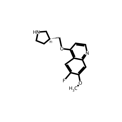 COc1cc2nccc(OC[C@@H]3CCNC3)c2cc1F